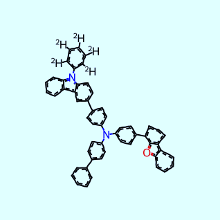 [2H]c1c([2H])c([2H])c(-n2c3ccccc3c3cc(-c4ccc(N(c5ccc(-c6ccccc6)cc5)c5ccc(-c6cccc7c6oc6ccccc67)cc5)cc4)ccc32)c([2H])c1[2H]